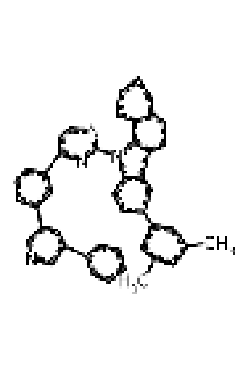 Cc1cc(C)cc(-c2ccc3c(c2)c2ccc4ccccc4c2n3-c2nccc(-c3cccc(-c4cncc(-c5ccccc5)c4)c3)n2)c1